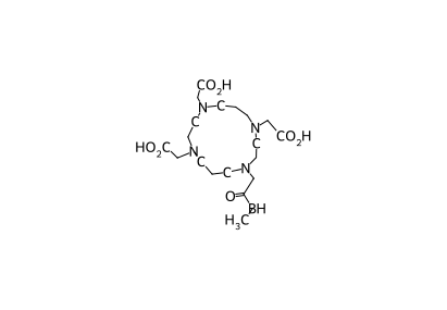 CBC(=O)CN1CCCN(CC(=O)O)CCN(CC(=O)O)CCCN(CC(=O)O)CC1